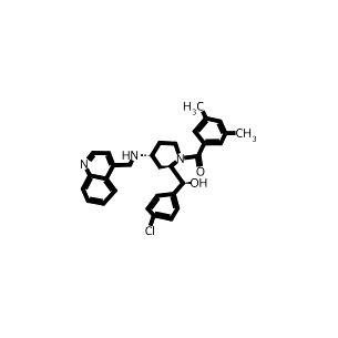 Cc1cc(C)cc(C(=O)N2CC[C@@H](NCc3ccnc4ccccc34)C[C@@H]2[C@H](O)c2ccc(Cl)cc2)c1